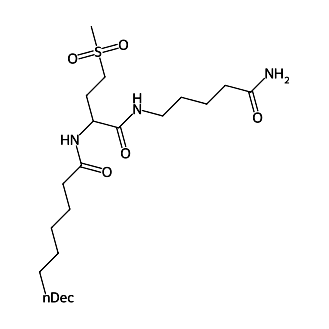 CCCCCCCCCCCCCCCC(=O)NC(CCS(C)(=O)=O)C(=O)NCCCCC(N)=O